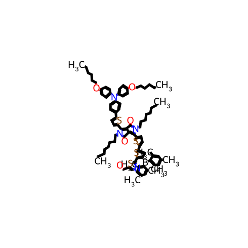 CCCCCCCCN1C(=O)C2=C(c3ccc(-c4cc(B(c5c(C)cc(C)cc5C)c5c(C)cc(C)cc5C)c(-c5ncc(C=O)s5)s4)s3)N(CCCCCCCC)C(=O)C2=C1c1ccc(-c2ccc(N(c3ccc(OCCCCCC)cc3)c3ccc(OCCCCCC)cc3)cc2)s1